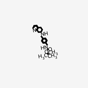 CC(C)(C)OC(=O)NCc1ccc(CNC2CCc3cccnc3C2)cc1